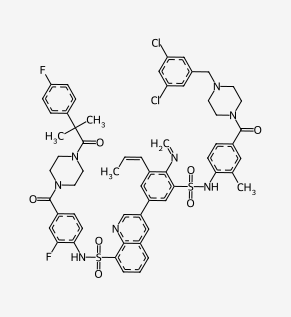 C=Nc1c(/C=C\C)cc(-c2cnc3c(S(=O)(=O)Nc4ccc(C(=O)N5CCN(C(=O)C(C)(C)c6ccc(F)cc6)CC5)cc4F)cccc3c2)cc1S(=O)(=O)Nc1ccc(C(=O)N2CCN(Cc3cc(Cl)cc(Cl)c3)CC2)cc1C